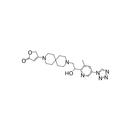 Cc1cc(-n2cnnn2)cnc1C(O)CN1CCC2(CC1)CCN(C1=CC(=O)OC1)CC2